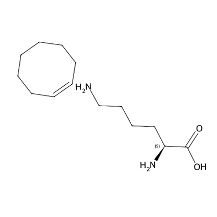 C1=CCCCCCC1.NCCCC[C@H](N)C(=O)O